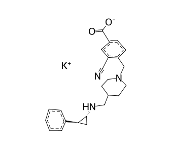 N#Cc1cc(C(=O)[O-])ccc1CN1CCC(CN[C@@H]2C[C@H]2c2ccccc2)CC1.[K+]